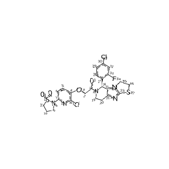 O=C(COc1ccc(N2CCCS2(=O)=O)nc1Cl)N1CCc2nc3n(c2[C@@H]1c1ccc(Cl)cc1F)CCS3